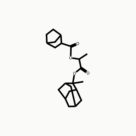 CC(OC(=O)C1CC2CCC1C2)C(=O)OC1(C)C2CC3CC(C2)CC1C3